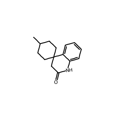 CC1CCC2(CC1)CC(=O)Nc1ccccc12